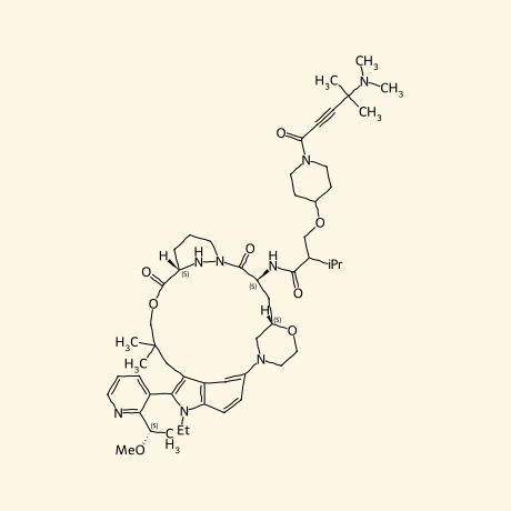 CCn1c(-c2cccnc2[C@H](C)OC)c2c3cc(ccc31)N1CCO[C@@H](C[C@H](NC(=O)C(COC3CCN(C(=O)C#CC(C)(C)N(C)C)CC3)C(C)C)C(=O)N3CCC[C@H](N3)C(=O)OCC(C)(C)C2)C1